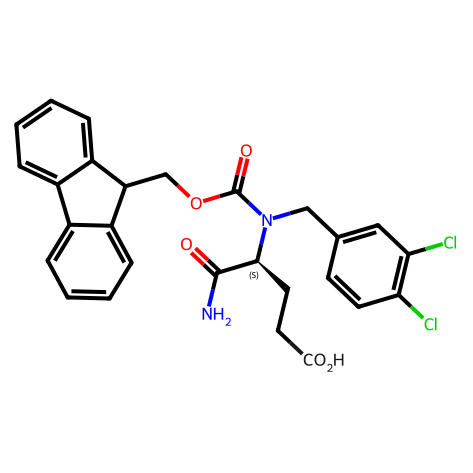 NC(=O)[C@H](CCC(=O)O)N(Cc1ccc(Cl)c(Cl)c1)C(=O)OCC1c2ccccc2-c2ccccc21